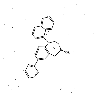 CN1CCN(c2cccc3ccccc23)c2ccc(-c3cccnn3)cc2C1